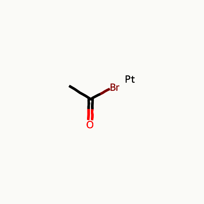 CC(=O)Br.[Pt]